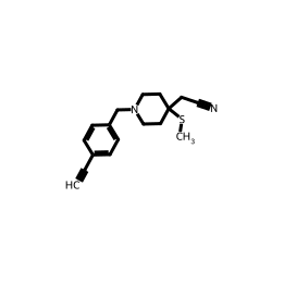 C#Cc1ccc(CN2CCC(CC#N)(SC)CC2)cc1